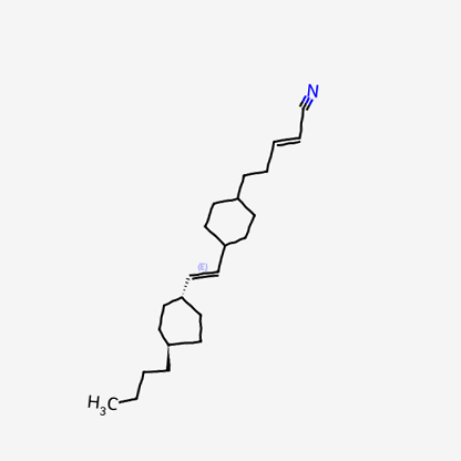 CCCC[C@H]1CC[C@H](/C=C/C2CCC(CCC=CC#N)CC2)CC1